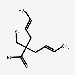 C/C=C/CC(C/C=C/C)(CC(C)=O)C(=O)CC